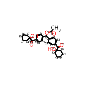 CC(=O)OC(c1ccc(C(=O)C2(O)CCCCC2)cc1)c1ccc(C(=O)C2(O)CCCCC2)cc1